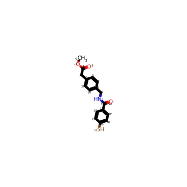 COC(=O)Cc1ccc(CNC(=O)c2ccc(S)cc2)cc1